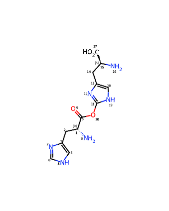 N[C@H](Cc1c[nH]cn1)C(=O)Oc1nc(C[C@H](N)C(=O)O)c[nH]1